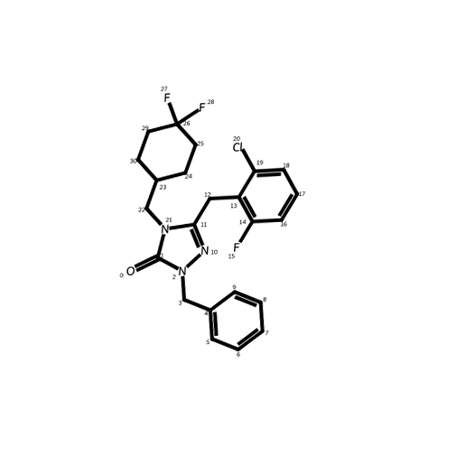 O=c1n(Cc2ccccc2)nc(Cc2c(F)cccc2Cl)n1CC1CCC(F)(F)CC1